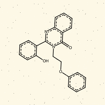 O=c1c2ccccc2nc(-c2ccccc2O)n1CCOc1ccccc1